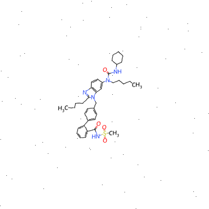 CCCCCN(C(=O)NC1CCCCC1)c1ccc2nc(CCCC)n(Cc3ccc(-c4ccccc4C(=O)NS(C)(=O)=O)cc3)c2c1